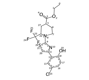 CCOC(=O)C1CCN(c2nc(-c3cc(Cl)ccc3O)cs2)C(C(F)(F)F)C1